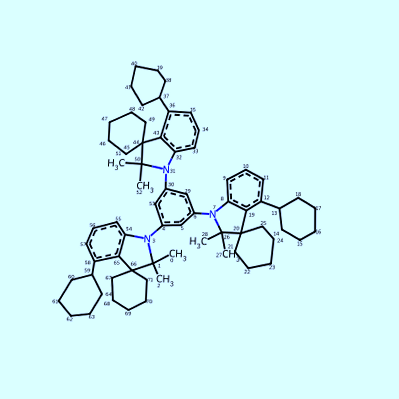 CC1(C)N(c2cc(N3c4cccc(C5CCCCC5)c4C4(CCCCC4)C3(C)C)cc(N3c4cccc(C5CCCCC5)c4C4(CCCCC4)C3(C)C)c2)c2cccc(C3CCCCC3)c2C12CCCCC2